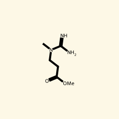 COC(=O)CCN(C)C(=N)N